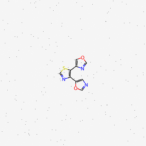 [c]1nc(-c2cnco2)c(-c2cocn2)s1